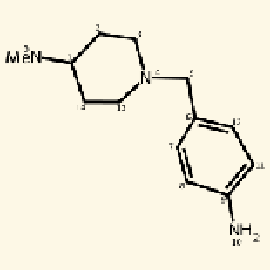 CNC1CCN(Cc2ccc(N)cc2)CC1